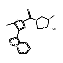 N[C@@H]1CCN(C(=O)c2nc(-c3cnn4ccccc34)c(Cl)s2)C[C@H]1F